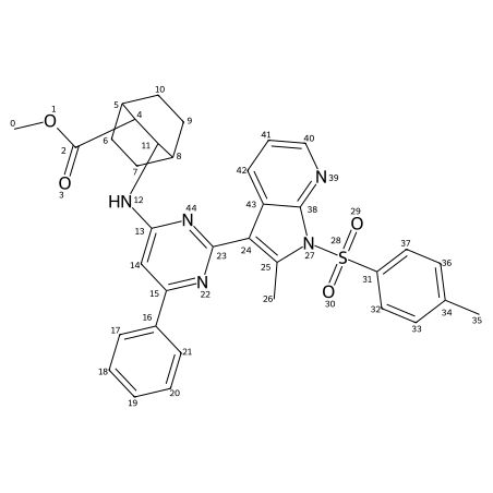 COC(=O)C1C2CCC(CC2)C1Nc1cc(-c2ccccc2)nc(-c2c(C)n(S(=O)(=O)c3ccc(C)cc3)c3ncccc23)n1